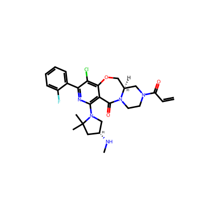 C=CC(=O)N1CCN2C(=O)c3c(N4C[C@H](NC)CC4(C)C)nc(-c4ccccc4F)c(Cl)c3OC[C@H]2C1